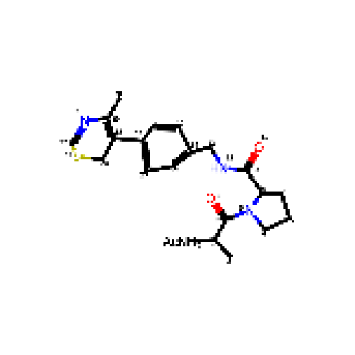 CC(=O)NC(C)C(=O)N1CCCC1C(=O)NCc1ccc(C2=C(C)N=CSC2)cc1